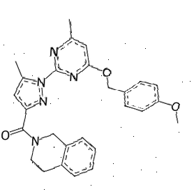 COc1ccc(COc2cc(C)nc(-n3nc(C(=O)N4CCc5ccccc5C4)cc3C)n2)cc1